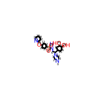 CN1CCN(C(CNS(=O)(=O)c2ccc(Oc3ccccn3)cc2)c2ccc(O)c(O)c2)CC1